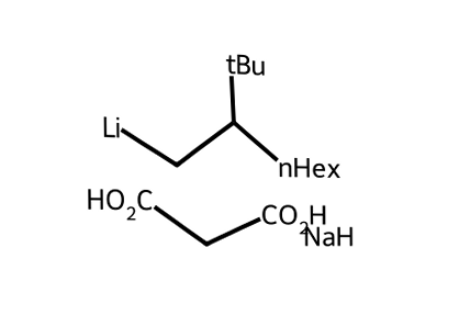 O=C(O)CC(=O)O.[Li][CH2]C(CCCCCC)C(C)(C)C.[NaH]